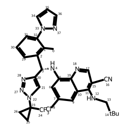 Cc1c([C@H](Nc2cc(Cl)cc3c(NCC(C)(C)C)c(C#N)cnc23)c2cn(C3(C(F)(F)F)CC3)nn2)cccc1-n1cccn1